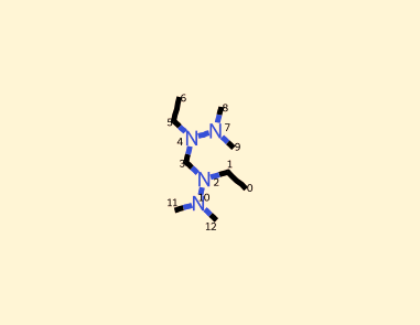 CCN(CN(CC)N(C)C)N(C)C